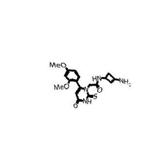 COc1ccc(-c2cc(=O)[nH]c(=S)n2CC(=O)NC2CC(N)C2)c(OC)c1